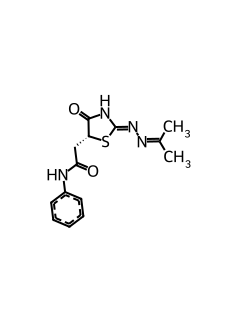 CC(C)=NN=C1NC(=O)[C@@H](CC(=O)Nc2ccccc2)S1